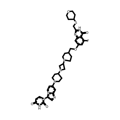 O=c1ccn(-c2cnc3cc(N4CCC(N5CC(N6CCC(COc7cc(F)c8c(=O)[nH]c(CSC9CCOCC9)nc8c7)CC6)C5)CC4)ccn23)c(=O)[nH]1